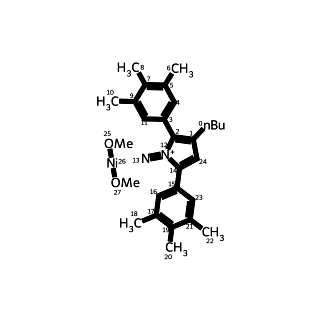 CCCCC1=C(c2cc(C)c(C)c(C)c2)[N+](=[N-])C(c2cc(C)c(C)c(C)c2)=C1.C[O][Ni][O]C